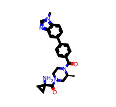 C[C@H]1CN(C(=O)C2(N)CC2)CCN1C(=O)c1ccc(-c2ccc3c(c2)ncn3C)cc1